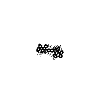 C[Si](C)(C)c1cc2cc(-c3c4ccccc4c(-c4cccc5ccccc45)c4ccccc34)c([Si](C)(C)C)cc2cc1-c1c2ccccc2c(-c2cccc3ccccc23)c2ccccc12